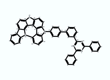 c1ccc(-c2nc(-c3ccccc3)nc(-c3cccc(-c4ccc(-n5c6ccc7sc8ccc9c%10ccccc%10n%10c%11cccc5c%11c6c7c8c9%10)cc4)c3)n2)cc1